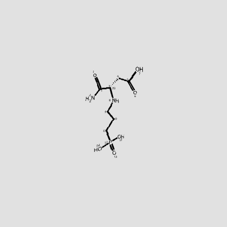 NC(=O)[C@H](CC(=O)O)NCCCP(=O)(O)O